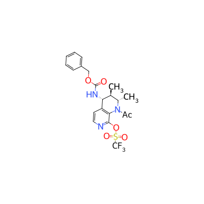 CC(=O)N1c2c(ccnc2OS(=O)(=O)C(F)(F)F)[C@H](NC(=O)OCc2ccccc2)[C@@H](C)[C@@H]1C